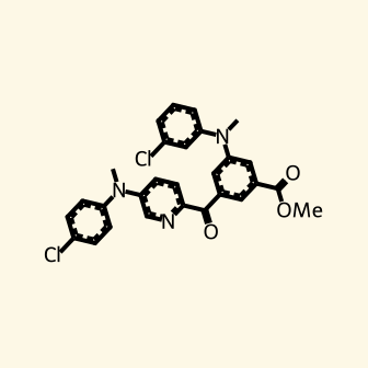 COC(=O)c1cc(C(=O)c2ccc(N(C)c3ccc(Cl)cc3)cn2)cc(N(C)c2cccc(Cl)c2)c1